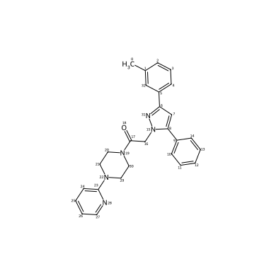 Cc1cccc(-c2cc(-c3ccccc3)n(CC(=O)N3CCN(c4ccccn4)CC3)n2)c1